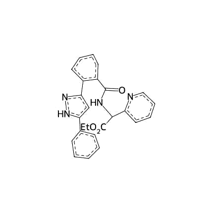 CCOC(=O)C(NC(=O)c1ccccc1-c1cc(-c2ccccc2)[nH]n1)c1ccccn1